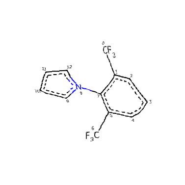 FC(F)(F)c1cccc(C(F)(F)F)c1-n1c[c]cc1